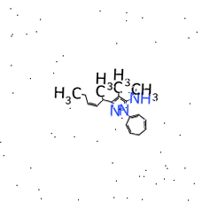 CC/C=C\C(C)c1nn(C2=CC=CCC=C2)c(NC)c1C